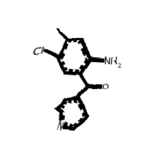 Cc1cc(N)c(C(=O)c2ccncc2)cc1Cl